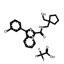 O=C(NCC1(CO)CCCC1)c1nc(-c2cccc(Cl)c2)c2ccccn12.O=C(O)C(F)(F)F